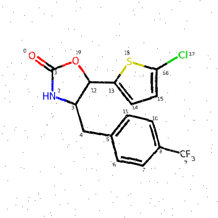 O=C1NC(Cc2ccc(C(F)(F)F)cc2)C(c2ccc(Cl)s2)O1